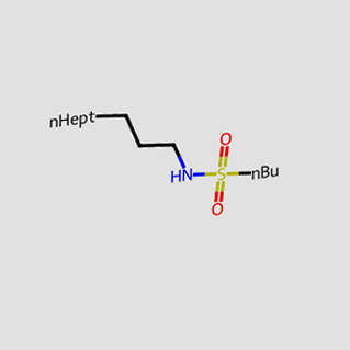 CCCCCCCCCCNS(=O)(=O)CCCC